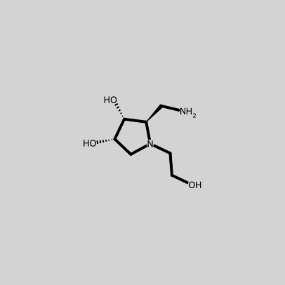 NC[C@@H]1[C@@H](O)[C@@H](O)CN1CCO